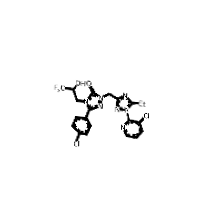 CCc1nc(Cn2nc(-c3ccc(Cl)cc3)n(CC(O)C(F)(F)F)c2=O)nn1-c1ncccc1Cl